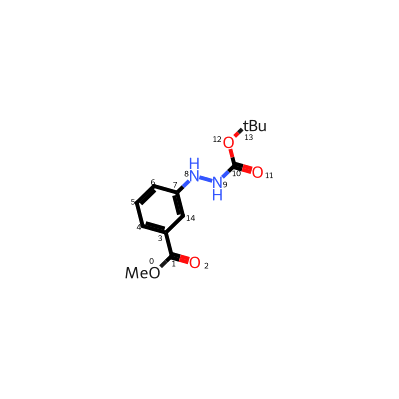 COC(=O)c1cccc(NNC(=O)OC(C)(C)C)c1